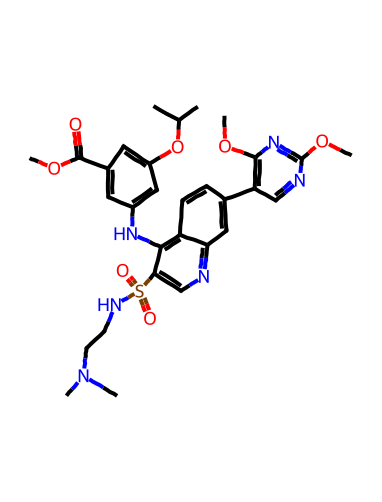 COC(=O)c1cc(Nc2c(S(=O)(=O)NCCN(C)C)cnc3cc(-c4cnc(OC)nc4OC)ccc23)cc(OC(C)C)c1